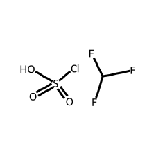 FC(F)F.O=S(=O)(O)Cl